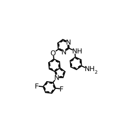 Nc1cccc(Nc2nccc(Oc3ccc4c(ccn4-c4cc(F)ccc4F)c3)n2)c1